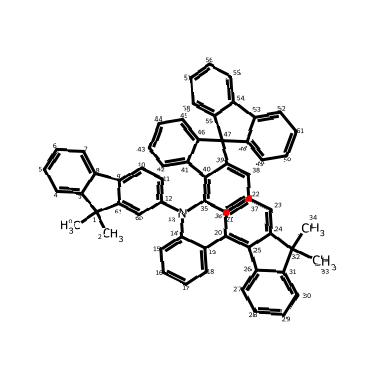 CC1(C)c2ccccc2-c2ccc(N(c3ccccc3-c3cccc4c3-c3ccccc3C4(C)C)c3cccc4c3-c3ccccc3C43c4ccccc4-c4ccccc43)cc21